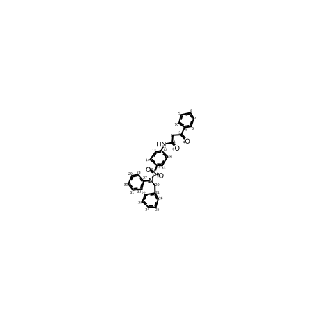 O=C(CC(=O)c1ccccc1)Nc1ccc(S(=O)(=O)N(Cc2ccccc2)c2ccccc2)cc1